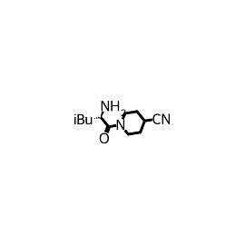 CC[C@@H](C)[C@@H](N)C(=O)N1CCC(C#N)CC1